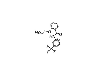 O=C(Nc1cc(C(F)(F)F)ccn1)c1ccccc1OCCO